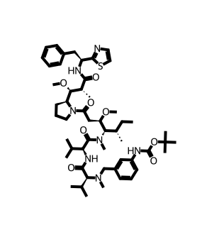 CC[C@H](C)[C@@H]([C@@H](CC(=O)N1CCC[C@H]1[C@H](OC)[C@@H](C)C(=O)N[C@@H](Cc1ccccc1)c1nccs1)OC)N(C)C(=O)[C@@H](NC(=O)[C@H](C(C)C)N(C)Cc1cccc(NC(=O)OC(C)(C)C)c1)C(C)C